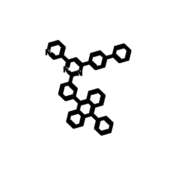 c1ccc(-c2ccc(-c3cc(-c4cccnc4)nc(-c4cccc(-c5c6ccccc6c(-c6ccccc6)c6ccccc56)c4)n3)cc2)cc1